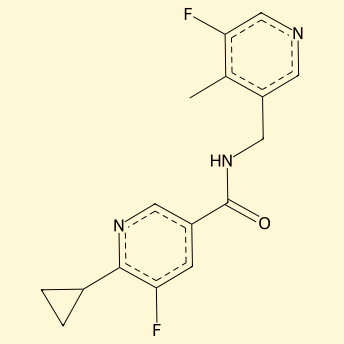 Cc1c(F)cncc1CNC(=O)c1cnc(C2CC2)c(F)c1